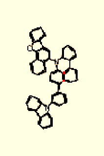 c1ccc(-c2ccccc2N(c2ccc(-c3cccc(-n4c5ccccc5c5ccccc54)c3)cc2)c2cc3c4ccccc4oc3c3ccccc23)cc1